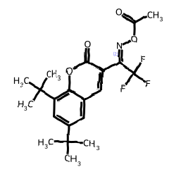 CC(=O)O/N=C(/c1cc2cc(C(C)(C)C)cc(C(C)(C)C)c2oc1=O)C(F)(F)F